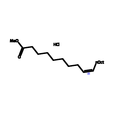 CCCCCCCC/C=C\CCCCCCCC(=O)OC.Cl